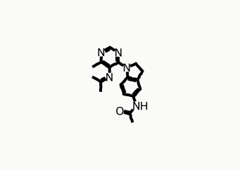 CC(=O)Nc1ccc2c(c1)CCN2c1ncnc(C)c1N=C(C)C